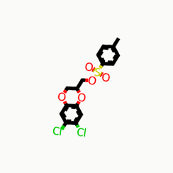 Cc1ccc(S(=O)(=O)OCC2COc3cc(Cl)c(Cl)cc3O2)cc1